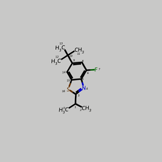 CC(C)c1nc2c(F)cc(C(C)(C)C)cc2s1